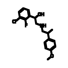 COc1ccc(C(C)CNCC(O)c2cccc(Cl)c2F)cc1